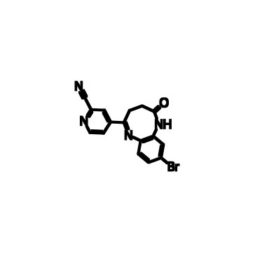 N#Cc1cc(C2=Nc3ccc(Br)cc3NC(=O)CC2)ccn1